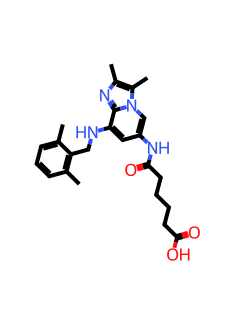 Cc1cccc(C)c1CNc1cc(NC(=O)CCCCC(=O)O)cn2c(C)c(C)nc12